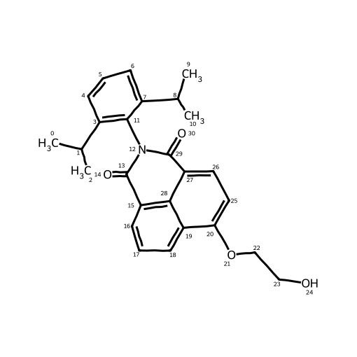 CC(C)c1cccc(C(C)C)c1N1C(=O)c2cccc3c(OCCO)ccc(c23)C1=O